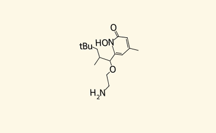 Cc1cc(C(OCCN)C(C)CC(C)(C)C)n(O)c(=O)c1